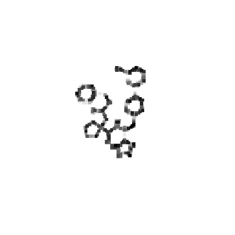 O=C(CC1(C(=O)N[C@@H](Cc2ccc(-c3cccc(Cl)c3)cc2)c2nnn[nH]2)CCCC1)OCc1ccccc1